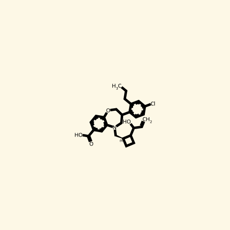 C=CC(O)C1CC[C@H]1CN1CC(c2ccc(Cl)cc2CCC)COc2ccc(C(=O)O)cc21